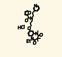 CCN1C(=O)C(C)(C)C(=O)N(C)c2cc(OCCCN(CCc3cccnc3)C(=O)c3ccco3)ccc21.Cl